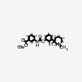 CCC1(c2cccc(OC(=O)Nc3cccc(C(=O)OC(C)(C)C)c3)c2)CCCCN(C)C1